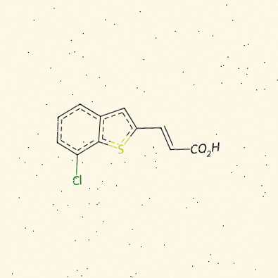 O=C(O)C=Cc1cc2cccc(Cl)c2s1